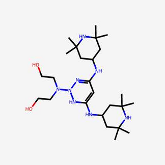 CC1(C)CC(NC2=CC(NC3CC(C)(C)NC(C)(C)C3)=NN(N(CCO)CCO)N2)CC(C)(C)N1